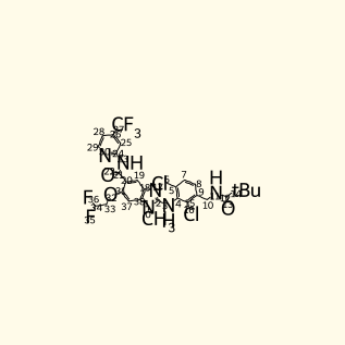 Cn1c(Nc2c(Cl)ccc(CNC(=O)C(C)(C)C)c2Cl)nc2cc(C(=O)Nc3cc(C(F)(F)F)ccn3)c(OCC(F)F)cc21